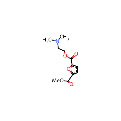 COC(=O)c1ccc(C(=O)OCCN(C)C)o1